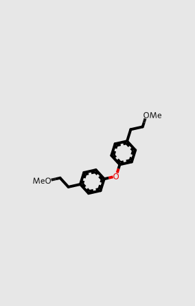 COCCc1ccc(Oc2ccc(CCOC)cc2)cc1